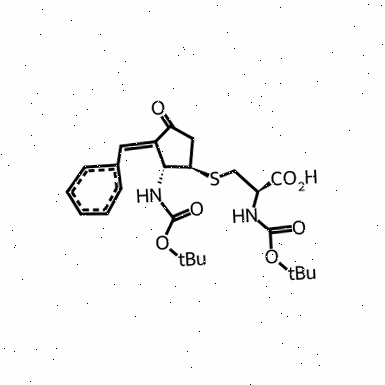 CC(C)(C)OC(=O)N[C@@H](CS[C@@H]1CC(=O)/C(=C/c2ccccc2)[C@H]1NC(=O)OC(C)(C)C)C(=O)O